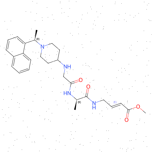 COC(=O)/C=C/CNC(=O)[C@@H](C)NC(=O)CNC1CCN([C@H](C)c2cccc3ccccc23)CC1